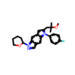 COC(C)(C)Cc1cc2cc3c(cnn3C3CCCCO3)cc2n1-c1ccc(F)cc1